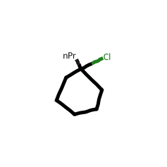 [CH2]CCC1(Cl)CCCCC1